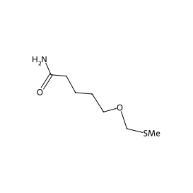 CSCOCCCCC(N)=O